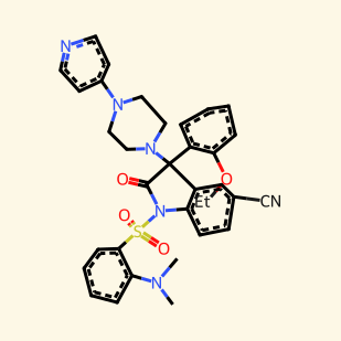 CCOc1ccccc1C1(N2CCN(c3ccncc3)CC2)C(=O)N(S(=O)(=O)c2ccccc2N(C)C)c2ccc(C#N)cc21